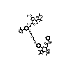 CC(=O)N[C@H](C(=O)N1C[C@H](O)C[C@H]1C(=O)NCc1ccc(-c2scnc2C)cc1OCCOCCCOc1ccc(C2=NC(CC(=O)Nc3ccccc3)c3nnc(C)n3-c3sc(C)c(C)c32)cc1)C(C)(C)C